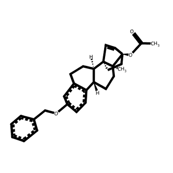 CC(=O)O[C@@]12C=C[C@]3(CC1)[C@@H]1CCc4cc(OCc5ccccc5)ccc4[C@H]1CC[C@@]32C